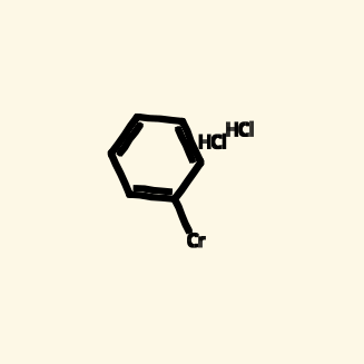 Cl.Cl.[Cr][c]1ccccc1